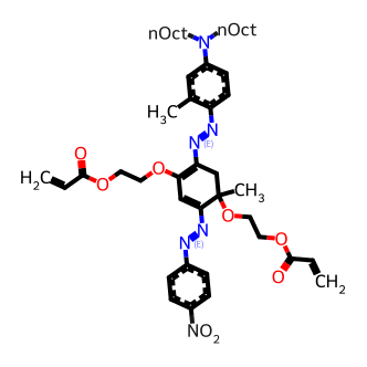 C=CC(=O)OCCOC1=C(/N=N/c2ccc(N(CCCCCCCC)CCCCCCCC)cc2C)CC(C)(OCCOC(=O)C=C)C(/N=N/c2ccc([N+](=O)[O-])cc2)=C1